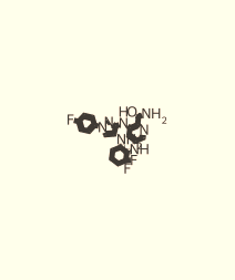 NC(=O)c1ncc(N[C@H]2[C@@H](N)CCCC2(F)F)cc1Nc1ccn(-c2ccc(F)cc2)n1